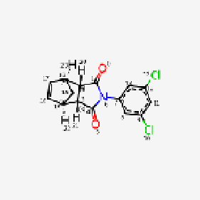 O=C1[C@@H]2[C@H](C(=O)N1c1cc(Cl)cc(Cl)c1)[C@H]1C=C[C@@H]2C1